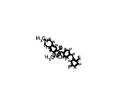 CN1CCc2cc(N(C)C)c(S(=O)(=O)c3ccc(Cc4cc(F)ccc4F)cc3)cc2CC1